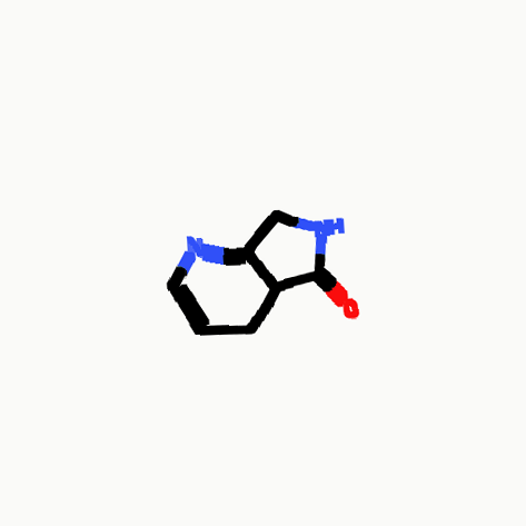 O=C1NCC2=NC=CCC12